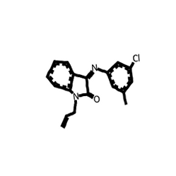 C=CCN1C(=O)C(=Nc2cc(C)cc(Cl)c2)c2ccccc21